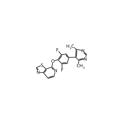 Cc1ncnc(C)c1-c1cc(F)c(Oc2nccc3ncsc23)c(F)c1